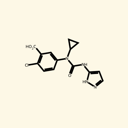 O=C(O)c1cc(N(C(=O)Nc2ccn[nH]2)C2CC2)ccc1Cl